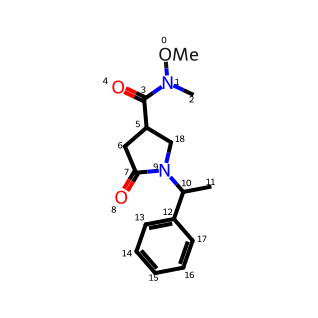 CON(C)C(=O)C1CC(=O)N(C(C)c2ccccc2)C1